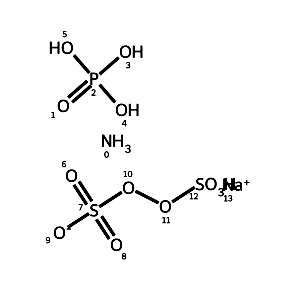 N.O=P(O)(O)O.O=S(=O)([O-])OOS(=O)(=O)O.[Na+]